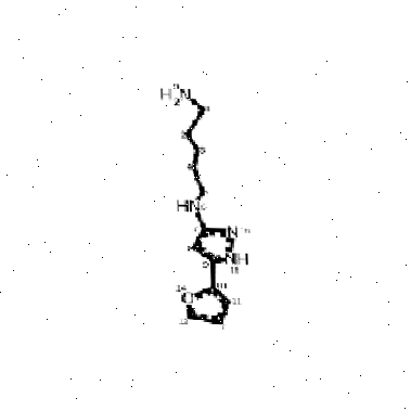 NCCCCCNc1cc(-c2ccco2)[nH]n1